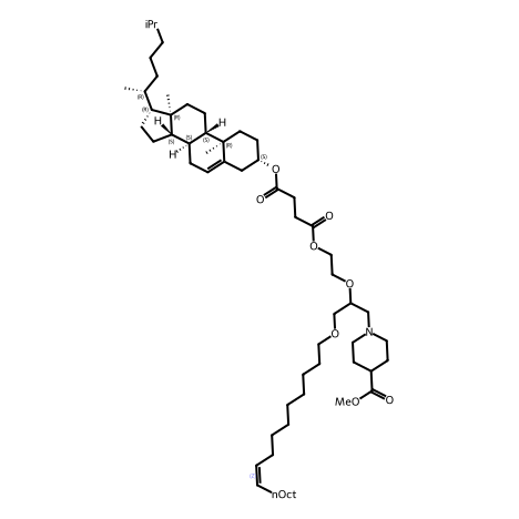 CCCCCCCC/C=C\CCCCCCCCOCC(CN1CCC(C(=O)OC)CC1)OCCOC(=O)CCC(=O)O[C@H]1CC[C@@]2(C)C(=CC[C@H]3[C@@H]4CC[C@H]([C@H](C)CCCC(C)C)[C@@]4(C)CC[C@@H]32)C1